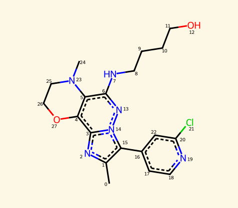 Cc1nc2c3c(c(NCCCCO)nn2c1-c1ccnc(Cl)c1)N(C)CCO3